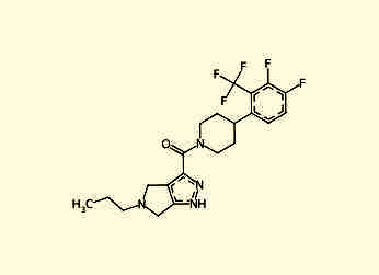 CCCN1Cc2[nH]nc(C(=O)N3CCC(c4ccc(F)c(F)c4C(F)(F)F)CC3)c2C1